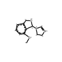 COc1cccc2c1C(N1C=NCC1)OC2